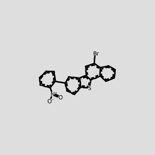 O=[N+]([O-])c1ccccc1-c1ccc2sc3c4ccccc4c(Br)cc3c2c1